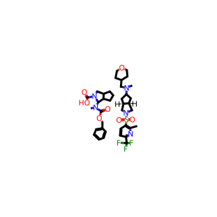 CN(C(=O)OCc1ccccc1)C1C2CCCC2CN1C(=O)O.Cc1nc(C(F)(F)F)ccc1S(=O)(=O)N1C[C@H]2CC(N(C)CC3CCOCC3)C[C@H]2C1